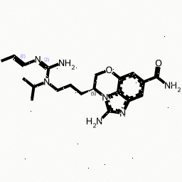 C/C=C/N=C(/N)N(CCC[C@H]1COc2cc(C(N)=O)cc3nc(N)n1c23)C(C)C